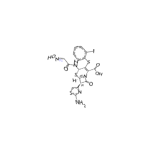 Nc1nc([C@@H]2C(=O)N3C(C(=O)O)=C(Sc4ccccc4I)C(NC(=O)/C=N/O)S[C@H]23)cs1